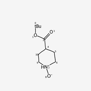 CC(C)(C)OC(=O)C1CC[NH+]([O-])CC1